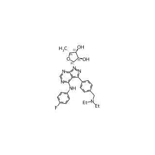 CCN(CC)Cc1ccc(-c2nn([C@@H]3O[C@H](C)[C@@H](O)[C@H]3O)c3ncnc(Nc4ccc(F)cc4)c23)cc1